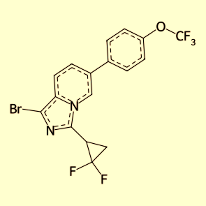 FC(F)(F)Oc1ccc(-c2ccc3c(Br)nc(C4CC4(F)F)n3c2)cc1